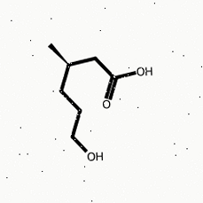 C[C@H](CCCO)CC(=O)O